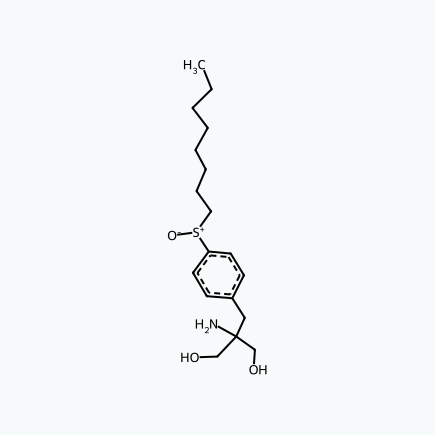 CCCCCCCC[S+]([O-])c1ccc(CC(N)(CO)CO)cc1